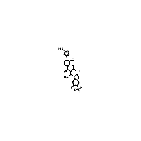 Cc1cn(-c2ccc3n(c2=O)CC(C)N(C(C)c2coc4cc(C(F)(F)F)c(F)cc24)C3=O)cn1